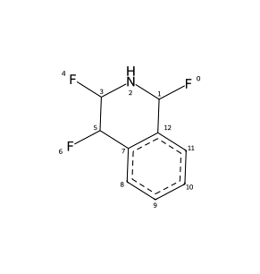 FC1NC(F)C(F)c2ccccc21